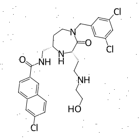 O=C(NC[C@@H]1CCN(Cc2cc(Cl)cc(Cl)c2)C(=O)[C@H](CCNCCO)N1)c1ccc2cc(Cl)ccc2c1